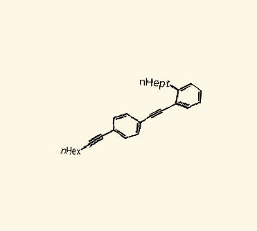 CCCCCCC#Cc1ccc(C#Cc2ccccc2CCCCCCC)cc1